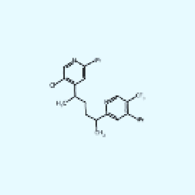 CC(C)c1cc(C(C)CCC(C)c2cc(C(C)C)c(C(F)(F)F)cn2)c(Cl)cn1